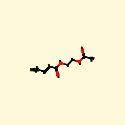 CC(C)C(=O)OCCOC(=O)C=CC(=O)O